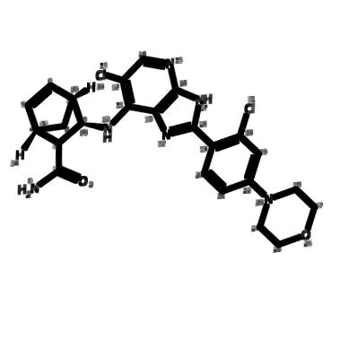 NC(=O)C1[C@@H]2C=C[C@@H](C2)[C@H]1Nc1c(Cl)cnc2[nH]c(-c3ccc(N4CCOCC4)cc3Cl)nc12